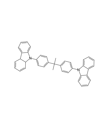 CC(C)(c1ccc(N2c3ccccc3C3C=CC=CC32)cc1)c1ccc(-n2c3ccccc3c3ccccc32)cc1